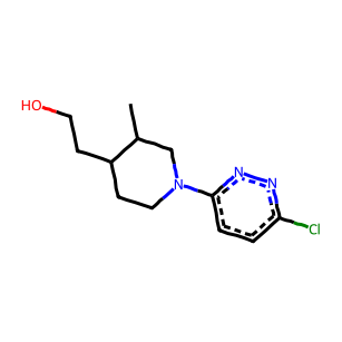 CC1CN(c2ccc(Cl)nn2)CCC1CCO